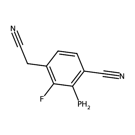 N#CCc1ccc(C#N)c(P)c1F